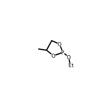 CCOP1OCC(C)O1